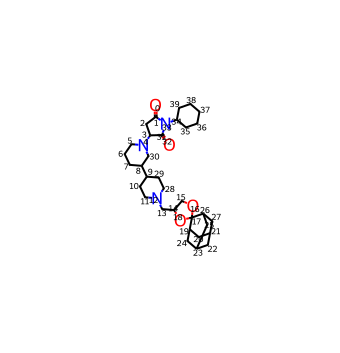 O=C1CC(N2CCCC(C3CCN(CC4COC5(O4)C4CC6CC(C4)CC5C6)CC3)C2)C(=O)N1C1CCCCC1